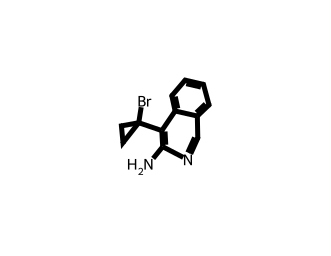 Nc1ncc2ccccc2c1C1(Br)CC1